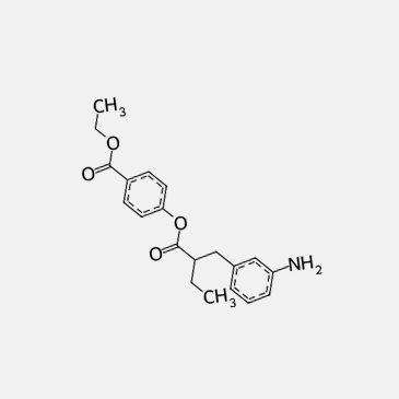 CCOC(=O)c1ccc(OC(=O)C(CC)Cc2cccc(N)c2)cc1